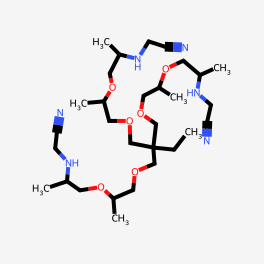 CCC(COCC(C)OCC(C)NCC#N)(COCC(C)OCC(C)NCC#N)COCC(C)OCC(C)NCC#N